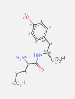 NC(CCC(=O)O)C(=O)N[C@@H](Cc1ccc(O)cc1)C(=O)O